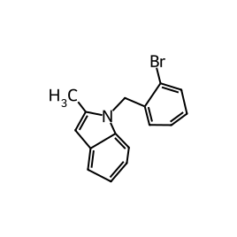 Cc1cc2ccccc2n1Cc1ccccc1Br